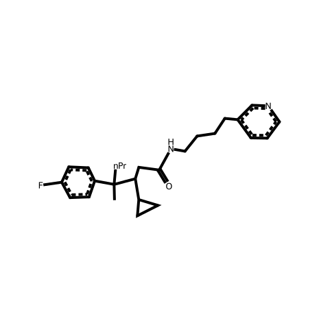 CCCC(C)(c1ccc(F)cc1)C(CC(=O)NCCCCc1cccnc1)C1CC1